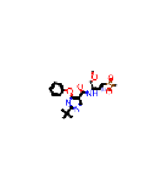 COC[C@@H](/C=C/S(C)(=O)=O)NC(=O)c1cnc(C(C)(C)C)nc1Oc1ccccc1